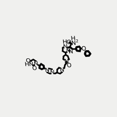 NC(=O)c1c(-c2ccc(Oc3ccccc3)cc2)nn2c1NCCC2C1CCN(C(=O)CCN2CCC(CN3CCN(c4ccc(N5CCC(=O)NC5=O)cc4)CC3)CC2)CC1